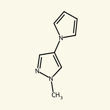 Cn1cc(-n2cccc2)cn1